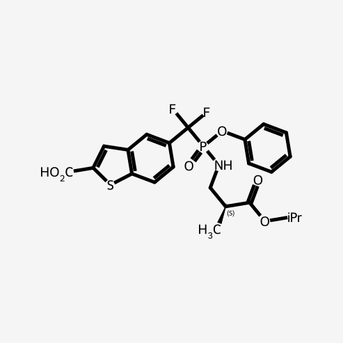 CC(C)OC(=O)[C@@H](C)CNP(=O)(Oc1ccccc1)C(F)(F)c1ccc2sc(C(=O)O)cc2c1